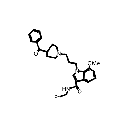 COc1cccc2c(C(=O)NCC(C)C)cn(CCCN3CCC(C(=O)c4ccccc4)CC3)c12